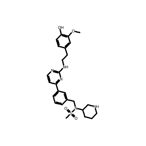 COc1cc(CCNc2nccc(-c3cccc(CN(C4CCCNC4)S(C)(=O)=O)c3)n2)ccc1O